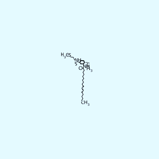 CCCCCCCCCCCCCCCCCC(=O)Nc1cc(C(=S)NCCCSC)ccc1CC